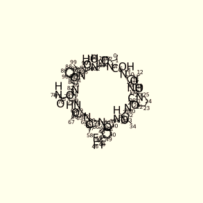 CCCN1CC(O)N(C)[C@@H](CC(C)C)C(=O)N[C@H](C(=O)N2CCCCC2)CC(=O)N(C)[C@@H](CC(C)C)C(=O)N[C@@H](Cc2ccc(C(F)(F)F)cc2)C(=O)N(C)[C@@H](CC(C)C)C(=O)N(C)[C@@H](CC(C)C)C(=O)N[C@@H](CCC(=O)NC)C(=O)N(C)[C@@H](Cc2ccccc2)C(=O)N(C)[C@@H]([C@@H](C)CC)C(=O)N[C@@H]([C@@H](C)O)C1=O